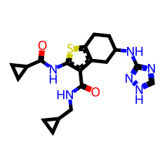 O=C(NCC1CC1)c1c(NC(=O)C2CC2)sc2c1CC(Nc1nc[nH]n1)CC2